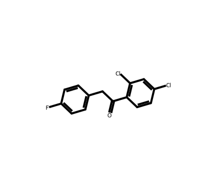 O=C(Cc1ccc(F)cc1)c1ccc(Cl)cc1Cl